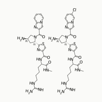 CNC(=O)C(CCCCNC(=N)N)NC(=O)c1csc([C@@H]2C[C@@H](N)CN2C(=O)c2cn3cc(Cl)ccc3n2)n1.CNC(=O)C(CCCCNC(=N)N)NC(=O)c1csc([C@@H]2C[C@@H](N)CN2C(=O)c2cn3ccccc3n2)n1